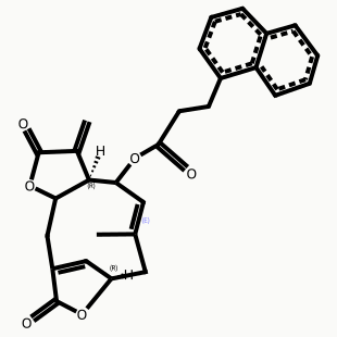 C=C1C(=O)OC2CC3=C[C@@H](C/C(C)=C/C(OC(=O)CCc4cccc5ccccc45)[C@H]12)OC3=O